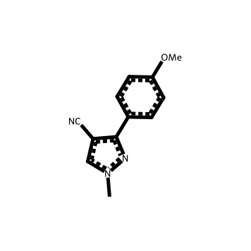 COc1ccc(-c2nn(C)cc2C#N)cc1